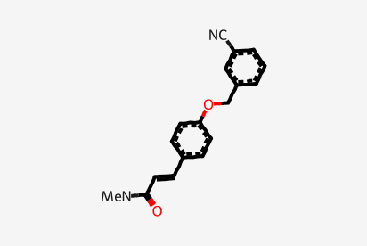 CNC(=O)/C=C/c1ccc(OCc2cccc(C#N)c2)cc1